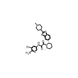 CCc1cc(NC(=O)C(=O)N2[C@@H](C)CCC[C@H]2c2ccc3sc(C4CCN(C)CC4)nc3c2)cnc1N